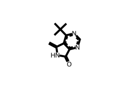 C=C1NC(=O)c2ncnc(C(C)(C)C)c21